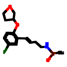 CC(C)(C)[S+]([O-])NCCC=Cc1cc(F)ccc1OC1CCOC1